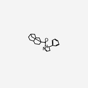 O=C(N1N=CCC1c1ccccc1)C12CCC3CCC(CC3C1)C2